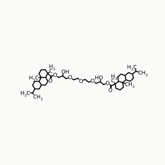 CC(C)C1CCC2C(CCC3C(C)(C(=O)OCC(O)COCCOCCOCC(O)COC(=O)C4(C)CCCC5(C)C6CCC(C(C)C)CC6CCC45)CCCC23C)C1